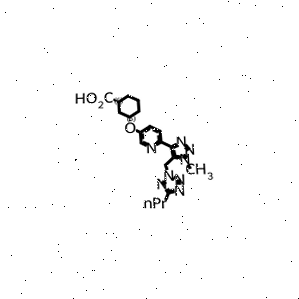 CCCc1nnn(Cc2c(-c3ccc(O[C@H]4CCC[C@H](C(=O)O)C4)cn3)nnn2C)n1